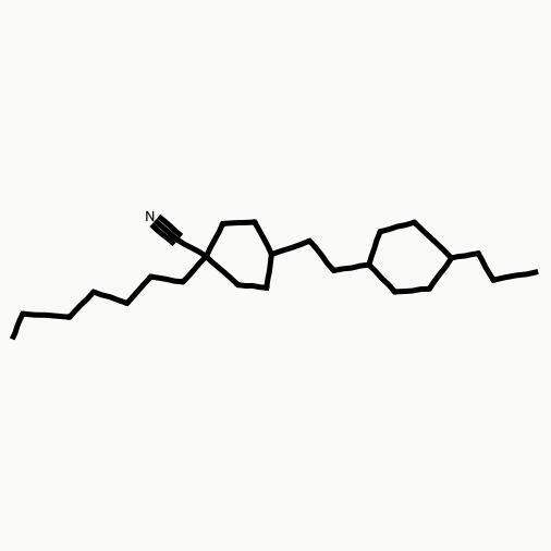 CCCCCCCC1(C#N)CCC(CCC2CCC(CCC)CC2)CC1